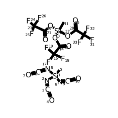 C[Si](N=C=O)(N=C=O)N=C=O.C[Si](OC(=O)C(F)(F)F)(OC(=O)C(F)(F)F)OC(=O)C(F)(F)F